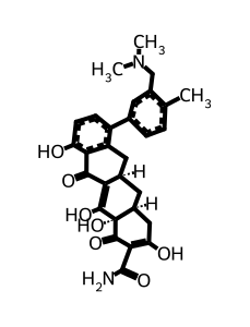 Cc1ccc(-c2ccc(O)c3c2C[C@H]2C[C@H]4CC(O)=C(C(N)=O)C(=O)[C@@]4(O)C(O)=C2C3=O)cc1CN(C)C